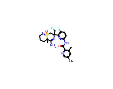 Cc1cc(C#N)cnc1C(=O)Nc1ccc(F)c(C2(CF)CS3(=O)=NCCCC3(C)C(N)=N2)n1